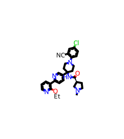 CCOc1ncccc1-c1ccc(C2(NC(=O)[C@H]3CCN(C)C3)CCN(c3ccc(Cl)cc3C#N)CC2)cn1